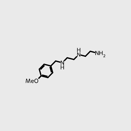 COc1ccc(CNCCNCCN)cc1